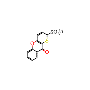 O=c1c2c(oc3ccccc13)C=CC(S(=O)(=O)O)S2